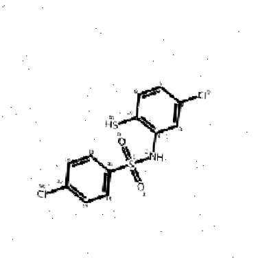 O=S(=O)(Nc1cc(Cl)ccc1S)c1ccc(Cl)cc1